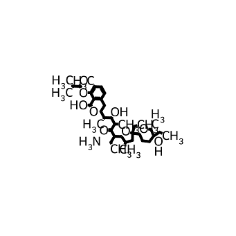 CCC(C(=O)C(C)C(O)C(C)CCc1ccc(C)c(OC(=O)C(C)C)c1C(=O)O)C1OC(CC)(C2CCC(O)(CC)C(C)O2)CC1C.N